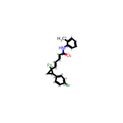 Cc1ccccc1NC(=O)/C=C/C=C/C1(F)CC1c1ccc(Br)cc1